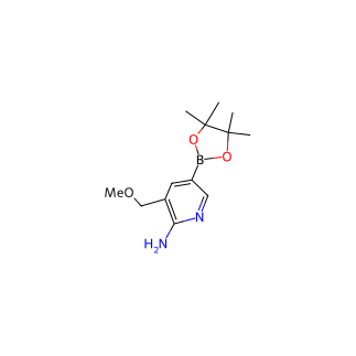 COCc1cc(B2OC(C)(C)C(C)(C)O2)cnc1N